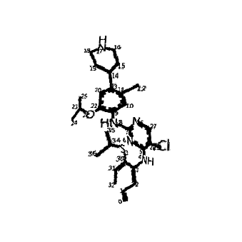 C=C/C=C(Nc1nc(Nc2cc(C)c(C3CCNCC3)cc2OC(C)C)ncc1Cl)\C(=C/C)SC(C)C